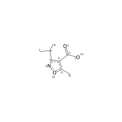 COC(=O)c1c(C(C)C)noc1C